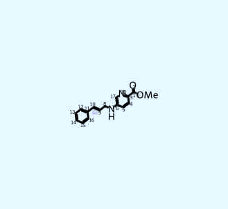 COC(=O)c1ccc(NC/C=C/c2ccccc2)cn1